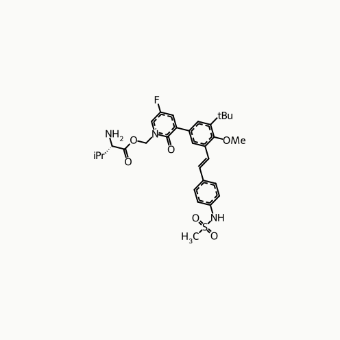 COc1c(/C=C/c2ccc(NS(C)(=O)=O)cc2)cc(-c2cc(F)cn(COC(=O)[C@@H](N)C(C)C)c2=O)cc1C(C)(C)C